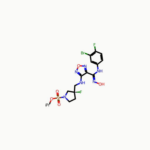 CC(C)OS(=O)(=O)N1CC[C@@](F)(CNc2nonc2/C(=N/O)Nc2ccc(F)c(Br)c2)C1